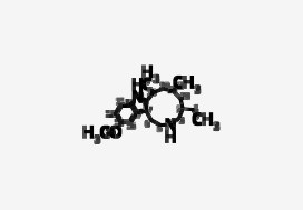 CCC1CNCCc2c([nH]c3ccc(OC)cc23)C(C)CC(C)C1